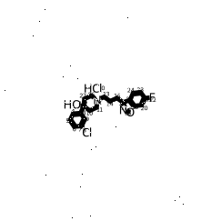 Cl.OC1(c2cccc(Cl)c2)CCN(CCCc2noc3cc(F)ccc23)CC1